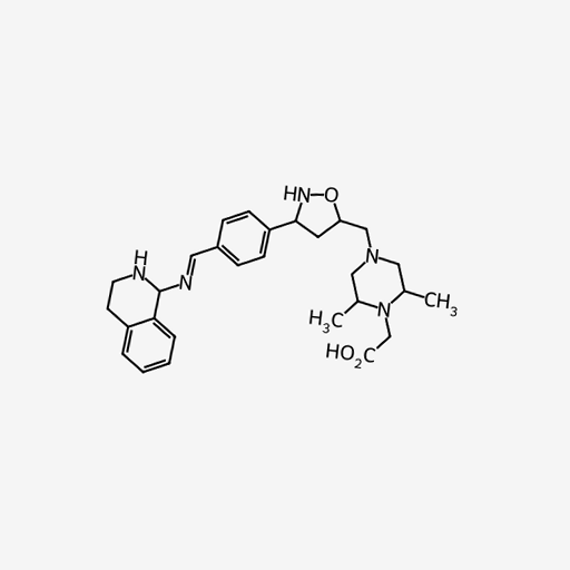 CC1CN(CC2CC(c3ccc(C=NC4NCCc5ccccc54)cc3)NO2)CC(C)N1CC(=O)O